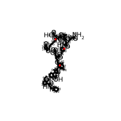 Cc1c(-c2ccc(N3CCc4cccc(C(=O)Nc5nc6ccccc6s5)c4C3)nc2C(=O)O)cnn1CC12CC3(C)CC(C)(C1)CC(OCCN(CCS(=O)(=O)O)C(=O)OCc1ccc(NC(=O)[C@H](CCCNC(N)=O)NC(=O)[C@@H](NC(=O)[C@H](CCC(=O)O)NC(=O)CCCCCN4C(=O)C=CC4=O)C(C)C)cc1)(C3)C2